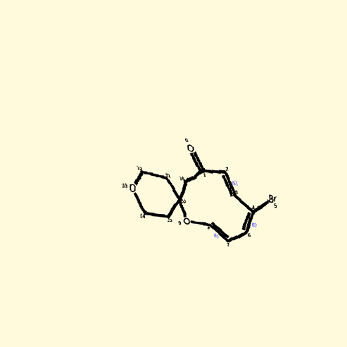 O=C1/C=C/C(Br)=C\C=C\OC2(CCOCC2)C1